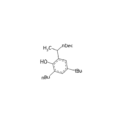 CCCCCCCCCCC(C)c1cc(C(C)(C)C)cc(CCCC)c1O